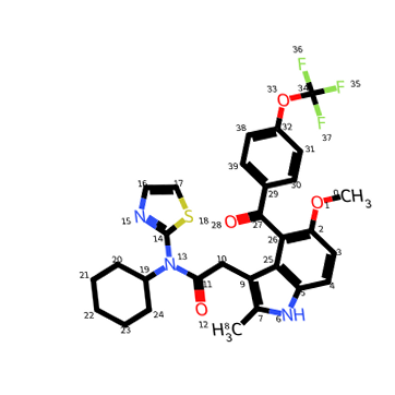 COc1ccc2[nH]c(C)c(CC(=O)N(c3nccs3)C3CCCCC3)c2c1C(=O)c1ccc(OC(F)(F)F)cc1